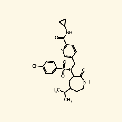 CC(C)C1CCNC(=O)C(N(Cc2ccc(C(=O)NC3CC3)nc2)S(=O)(=O)c2ccc(Cl)cc2)C1